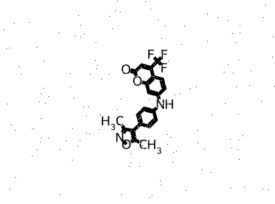 Cc1noc(C)c1-c1ccc(Nc2ccc3c(C(F)(F)F)cc(=O)oc3c2)cc1